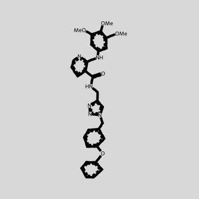 COc1cc(Nc2ncccc2C(=O)NCc2cn(Cc3cccc(Oc4ccccc4)c3)nn2)cc(OC)c1OC